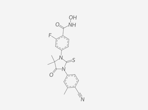 Cc1cc(N2C(=O)C(C)(C)N(c3ccc(C(=O)NO)c(F)c3)C2=S)ccc1C#N